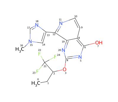 CCC(Oc1nc(O)c2ccnc(-c3cn(C)cn3)c2n1)C(F)(F)F